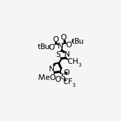 COc1ncc(-c2sc(N(C(=O)OC(C)(C)C)C(=O)OC(C)(C)C)nc2C)cc1S(=O)(=O)C(F)(F)F